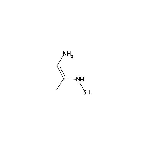 C/C(=C/N)NS